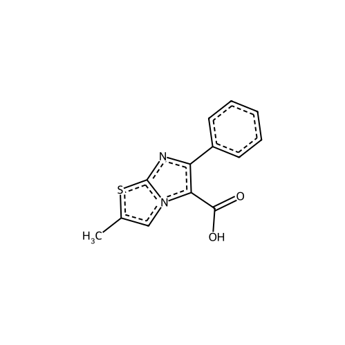 Cc1cn2c(C(=O)O)c(-c3ccccc3)nc2s1